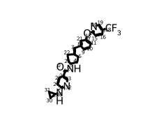 O=C(NC1CCC(=Cc2cccc(Oc3ccc(C(F)(F)F)cn3)c2)CC1)c1ccc(NC2CC2)nc1